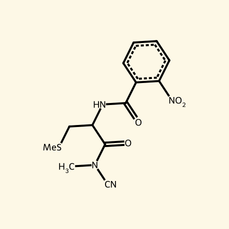 CSCC(NC(=O)c1ccccc1[N+](=O)[O-])C(=O)N(C)C#N